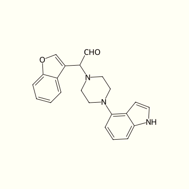 O=CC(c1coc2ccccc12)N1CCN(c2cccc3[nH]ccc23)CC1